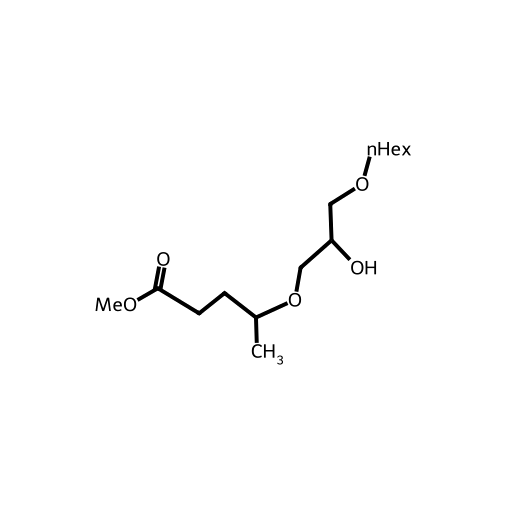 CCCCCCOCC(O)COC(C)CCC(=O)OC